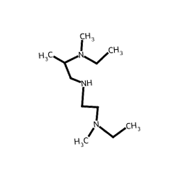 CCN(C)CCNCC(C)N(C)CC